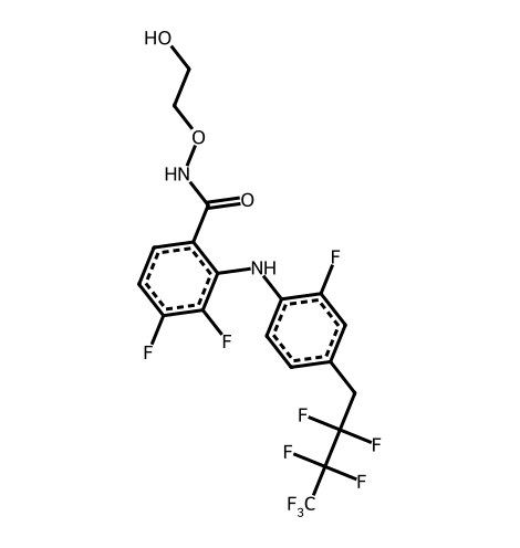 O=C(NOCCO)c1ccc(F)c(F)c1Nc1ccc(CC(F)(F)C(F)(F)C(F)(F)F)cc1F